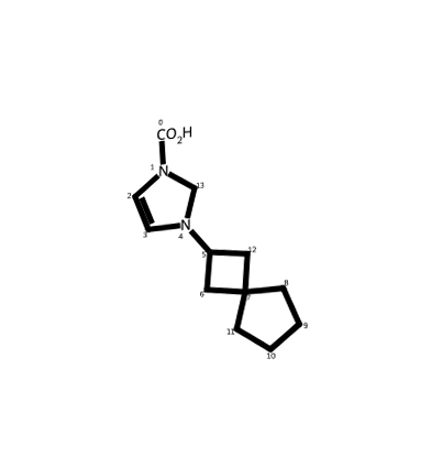 O=C(O)N1C=CN(C2CC3(CCCC3)C2)C1